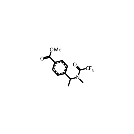 COC(=O)c1ccc(C(C)N(C)C(=O)C(F)(F)F)cc1